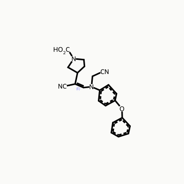 N#CCN(/C=C(/C#N)C1CCN(C(=O)O)C1)c1ccc(Oc2ccccc2)cc1